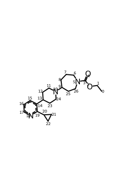 CCOC(=O)N1CCCC(N2CCC(c3cccnc3C3CC3)CC2)CC1